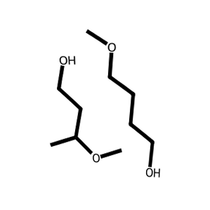 COC(C)CCO.COCCCCO